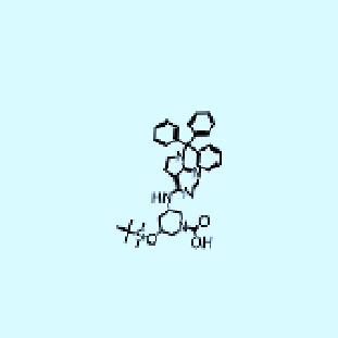 CC(C)(C)[Si](C)(C)O[C@H]1C[C@@H](Nc2ncnc3c2ccn3C(c2ccccc2)(c2ccccc2)c2ccccc2)CN(C(=O)O)C1